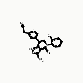 N#CCc1cc(-c2cn(-c3ccccc3Cl)c(=O)c3c(N)n[nH]c23)cs1